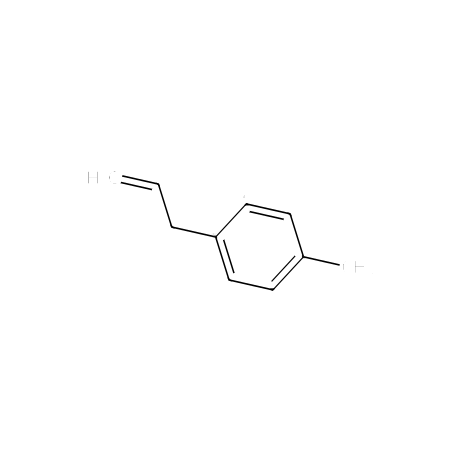 C=CCc1ccc(C)cc1